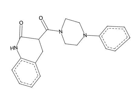 O=C1Nc2ccccc2CC1C(=O)N1CCN(c2ccccc2)CC1